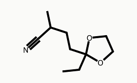 CCC1(CCC(C)C#N)OCCO1